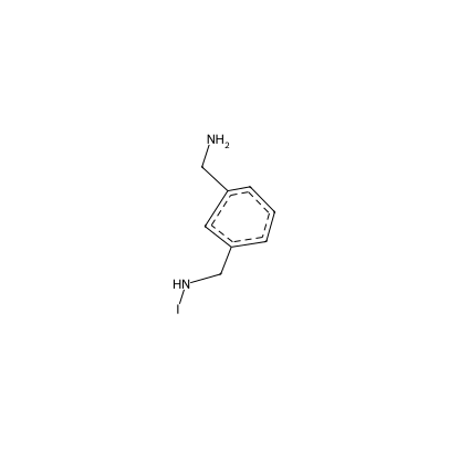 NCc1cccc(CNI)c1